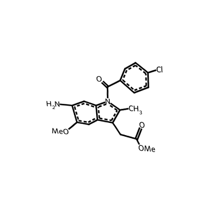 COC(=O)Cc1c(C)n(C(=O)c2ccc(Cl)cc2)c2cc(N)c(OC)cc12